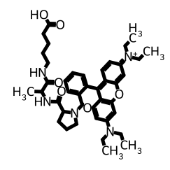 CCN(CC)c1ccc2c(-c3ccccc3C(=O)N3CCCC3C(=O)NC(C)C(=O)NCCCCC(=O)O)c3ccc(=[N+](CC)CC)cc-3oc2c1